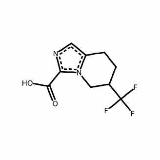 O=C(O)c1ncc2n1CC(C(F)(F)F)CC2